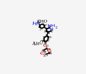 COc1cc(-c2cnc(N)c(-c3ccc(NC=O)cc3)c2)ccc1OC[C@H]1COCCO1